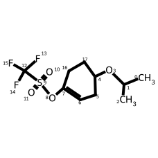 CC(C)OC1CC=C(OS(=O)(=O)C(F)(F)F)CC1